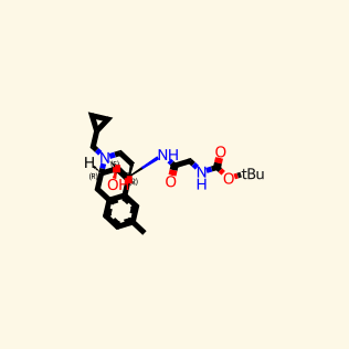 Cc1ccc2c(c1)[C@]13CCN(CC4CC4)[C@H](C2)[C@]1(O)CC[C@@H](NC(=O)CNC(=O)OC(C)(C)C)C3